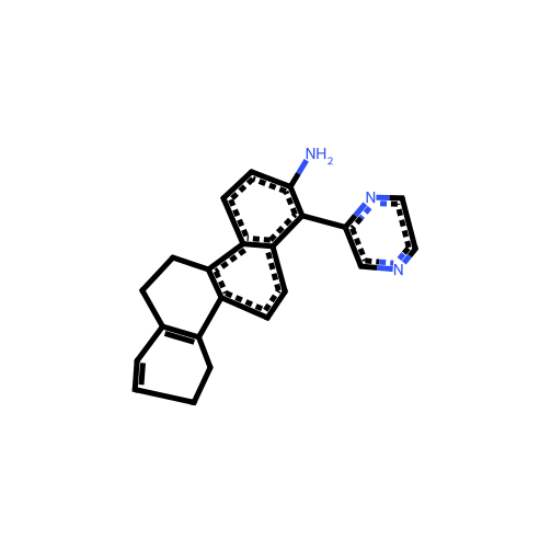 Nc1ccc2c3c(ccc2c1-c1cnccn1)C1=C(C=CCC1)CC3